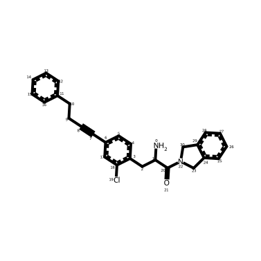 NC(Cc1ccc(C#CCCc2ccccc2)cc1Cl)C(=O)N1Cc2ccccc2C1